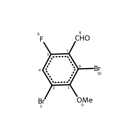 COc1c(Br)cc(F)c(C=O)c1Br